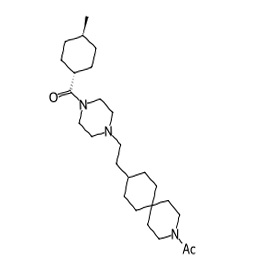 CC(=O)N1CCC2(CCC(CCN3CCN(C(=O)[C@H]4CC[C@H](C)CC4)CC3)CC2)CC1